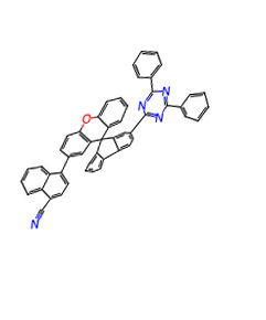 N#Cc1ccc(-c2ccc3c(c2)C2(c4ccccc4O3)c3ccccc3-c3ccc(-c4nc(-c5ccccc5)nc(-c5ccccc5)n4)cc32)c2ccccc12